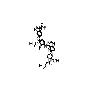 C=CC(=O)N1CCN(c2ccc3ncnc(Nc4ccc(Oc5ccc6c(c5)nnn6C(F)F)c(C)c4F)c3n2)C[C@H]1C